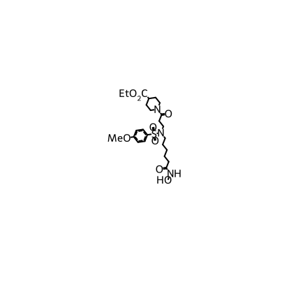 CCOC(=O)C1CCN(C(=O)CCN(CCCCCC(=O)NO)S(=O)(=O)c2ccc(OC)cc2)CC1